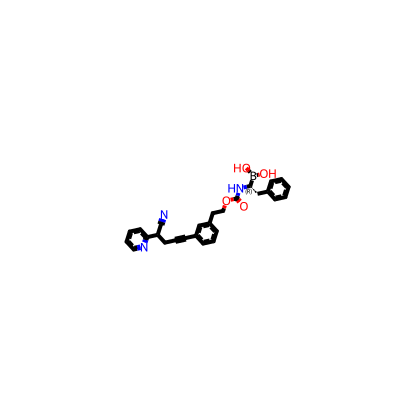 N#CC(CC#Cc1cccc(CCOC(=O)N[C@@H](Cc2ccccc2)B(O)O)c1)c1ccccn1